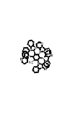 N#Cc1c(-n2c3ccccc3c3ncccc32)c(-c2nc3ccccc3n2-c2ccccc2)c(-n2c3ccccc3c3ncccc32)c(-n2c3ccccc3c3ncccc32)c1-n1c2ccccc2c2ncccc21